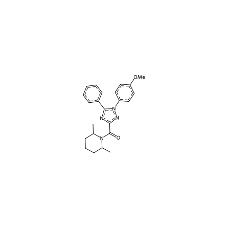 COc1ccc(-n2nc(C(=O)N3C(C)CCCC3C)nc2-c2ccccc2)cc1